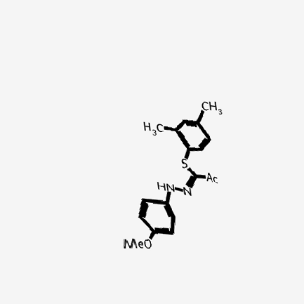 COc1ccc(NN=C(Sc2ccc(C)cc2C)C(C)=O)cc1